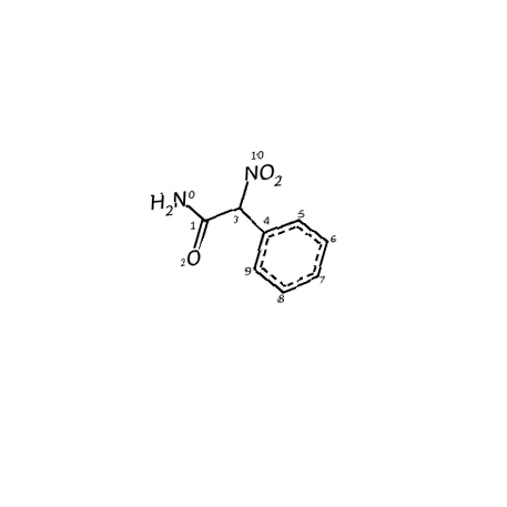 NC(=O)C(c1ccccc1)[N+](=O)[O-]